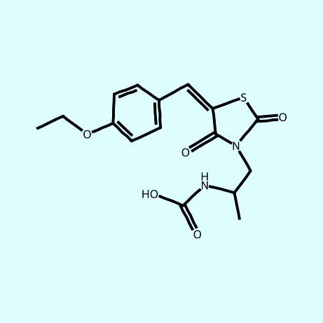 CCOc1ccc(C=C2SC(=O)N(CC(C)NC(=O)O)C2=O)cc1